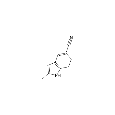 Cc1cc2c([pH]1)CCC(C#N)=C2